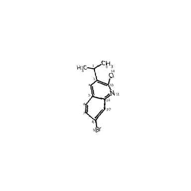 CC(C)c1cc2ccc(Br)cc2nc1Cl